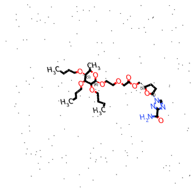 CCCCOC1C(OCCCC)[C@@H](OCCCC)C(C)O[C@H]1OCCOCC(=O)OC[C@@H]1CC[C@H](n2cnc(C(N)=O)n2)O1